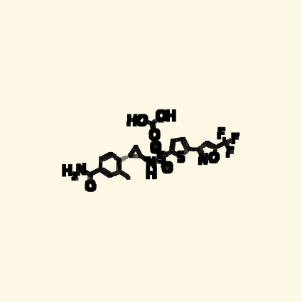 Cc1cc(C(N)=O)ccc1[C@@H]1C[C@H]1NS(=O)(=O)c1ccc(-c2cc(C(F)(F)F)on2)s1.O=C(O)O